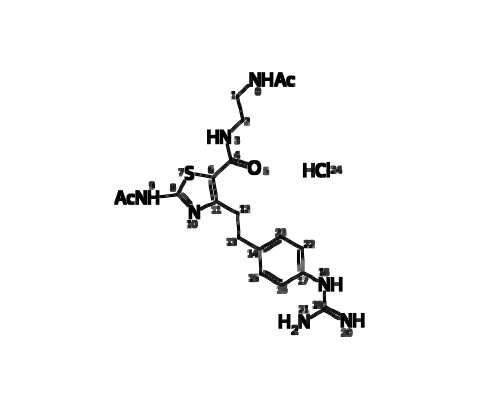 CC(=O)NCCNC(=O)c1sc(NC(C)=O)nc1CCc1ccc(NC(=N)N)cc1.Cl